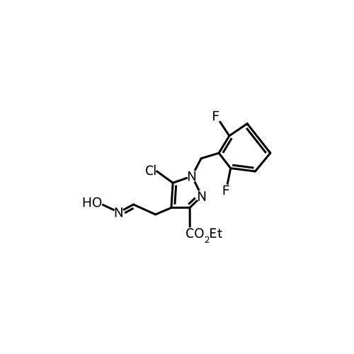 CCOC(=O)c1nn(Cc2c(F)cccc2F)c(Cl)c1C/C=N/O